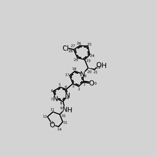 O=c1cc(-c2ccnc(NC3CCOCC3)n2)ccn1[C@H](CO)c1cccc(Cl)c1